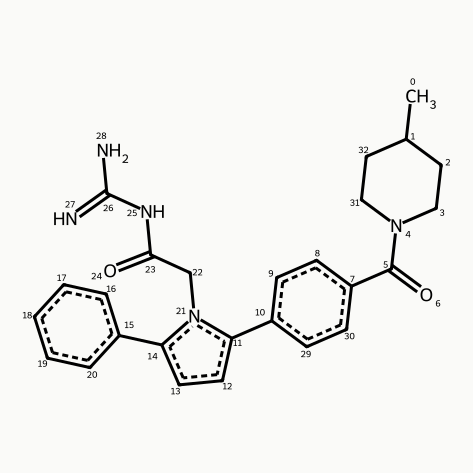 CC1CCN(C(=O)c2ccc(-c3ccc(-c4ccccc4)n3CC(=O)NC(=N)N)cc2)CC1